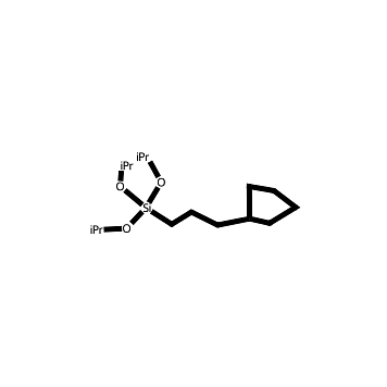 CC(C)O[Si](CCCC1CCCC1)(OC(C)C)OC(C)C